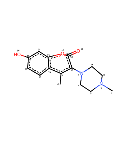 Cc1c(N2CCN(C)CC2)c(=O)oc2cc(O)ccc12